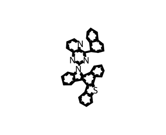 c1ccc2c(-c3nc(-n4c5ccccc5c5c6c7ccccc7sc6c6ccccc6c54)nc4cccnc34)cccc2c1